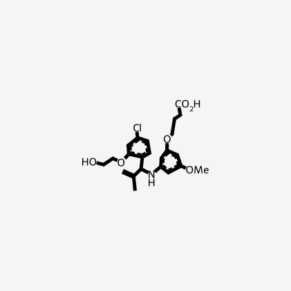 C=C(C)C(Nc1cc(OC)cc(OCCCC(=O)O)c1)c1ccc(Cl)cc1OCCO